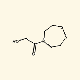 O=C(CO)N1CCSSCC1